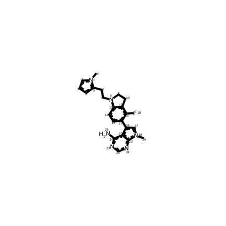 Cn1cccc1CCN1CCc2c1ccc(-c1cn(C)c3ncnc(N)c13)c2F